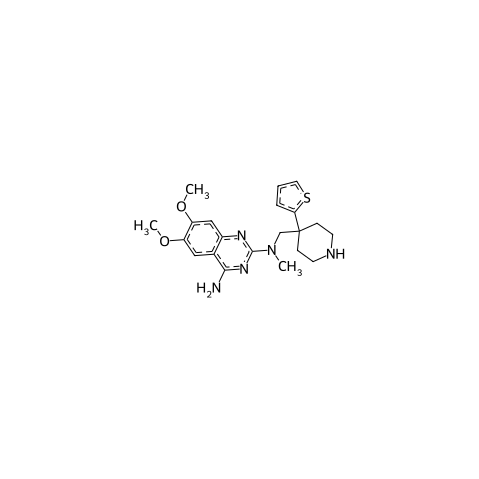 COc1cc2nc(N(C)CC3(c4cccs4)CCNCC3)nc(N)c2cc1OC